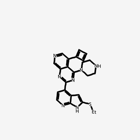 CCSc1cc2c(-c3nc(N4CCNCC4)c4c(C5=CC=C5)cncc4n3)ccnc2[nH]1